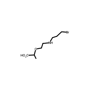 CC(OCCNCCCBr)C(=O)O